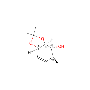 C[C@H]1C=C[C@H]2OC(C)(C)O[C@H]2[C@@H]1O